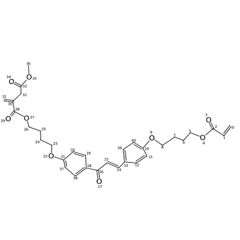 C=CC(=O)OCCCCOc1ccc(/C=C/C(=O)c2ccc(OCCCCOC(=O)C(=C)CC(=O)OC)cc2)cc1